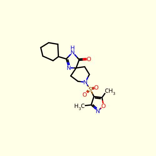 Cc1noc(C)c1S(=O)(=O)N1CCC2(CC1)N=C(C1CCCCC1)NC2=O